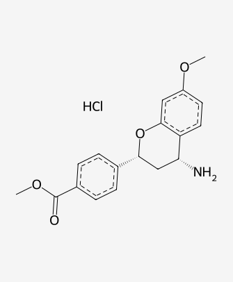 COC(=O)c1ccc([C@H]2C[C@@H](N)c3ccc(OC)cc3O2)cc1.Cl